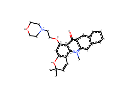 Cn1c2cc3ccccc3cc2c(=O)c2c(OCCN3CCOCC3)cc3c(c21)C=CC(C)(C)O3